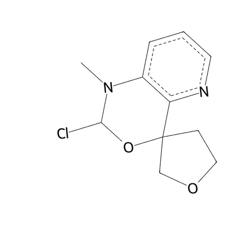 CN1c2cccnc2C2(CCOC2)OC1Cl